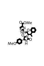 COC(=O)c1csc(NC(=O)C(C(C)c2ccccc2)N2C(=O)N[C@H](c3ccc(OC)cc3)C2=O)n1